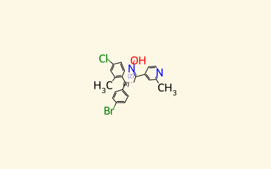 Cc1cc(/C(C[C@H](c2ccc(Br)cc2)c2ccc(Cl)cc2C)=N\O)ccn1